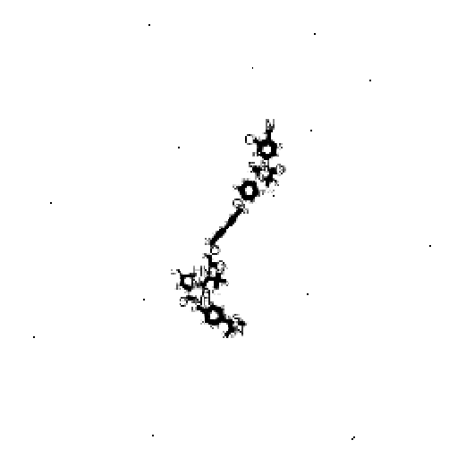 Cc1ncsc1-c1ccc(CNC(=O)[C@@H]2C[C@@H](C)CN2C(=O)[C@@H](NC(=O)COCC#CC#CCOc2ccc(N3C(=S)N(c4ccc(C#N)c(Cl)c4)C(=O)C3(C)C)cc2)C(C)(C)C)cc1